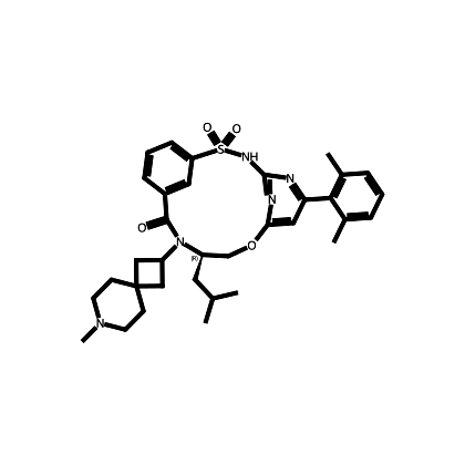 Cc1cccc(C)c1-c1cc2nc(n1)NS(=O)(=O)c1cccc(c1)C(=O)N(C1CC3(CCN(C)CC3)C1)[C@H](CC(C)C)CO2